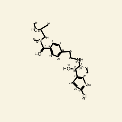 CC[C@@H](NCCc1ccc(C(=O)N(C)CC(C)OC)cc1)[C@H](O)c1ccc(Cl)nc1